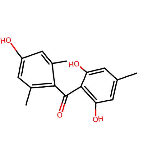 Cc1cc(O)c(C(=O)c2c(C)cc(O)cc2C)c(O)c1